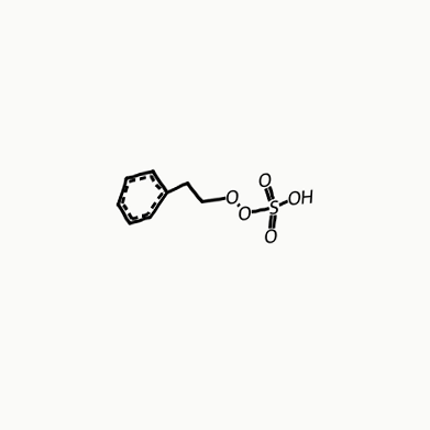 O=S(=O)(O)OOCCc1ccccc1